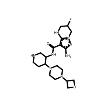 Nc1nn2c(c1C(=O)NC1CNCCC1N1CCN(C3COC3)CC1)NCC(F)C2